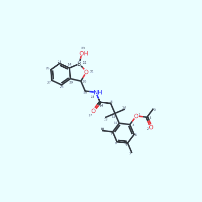 CC(=O)Oc1cc(C)cc(C)c1C(C)(C)CC(=O)NCC1OB(O)c2ccccc21